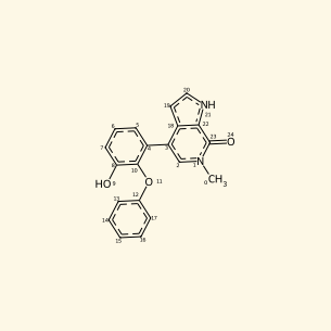 Cn1cc(-c2cccc(O)c2Oc2ccccc2)c2cc[nH]c2c1=O